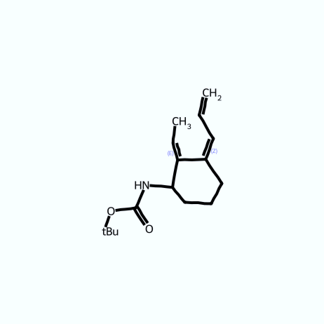 C=C/C=C1/CCCC(NC(=O)OC(C)(C)C)/C1=C/C